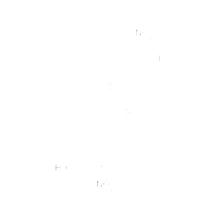 CC(CCCC(=O)OCCC(O)[N+](=O)[O-])O[N+](=O)[O-]